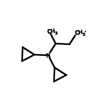 [CH2]CC(C)N(C1CC1)C1CC1